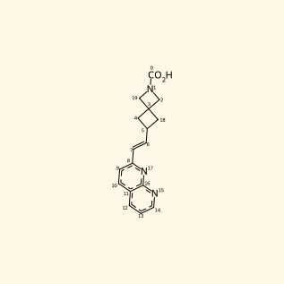 O=C(O)N1CC2(CC(C=Cc3ccc4cccnc4n3)C2)C1